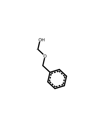 O[CH]OCc1ccccc1